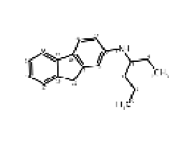 CCCC(CC)Nc1[c]c2c(cc1)-c1ccccc1C2